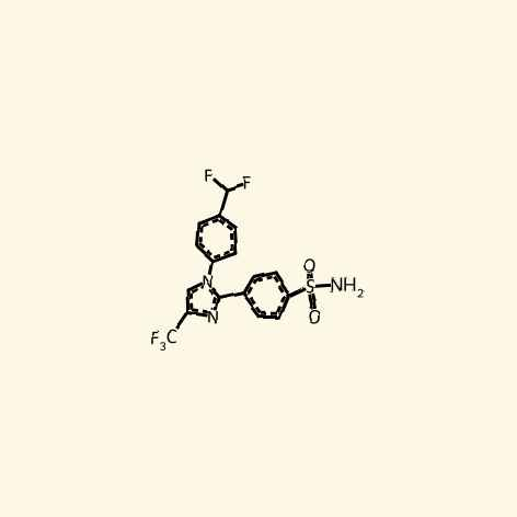 NS(=O)(=O)c1ccc(-c2nc(C(F)(F)F)cn2-c2ccc(C(F)F)cc2)cc1